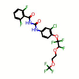 O=C(NC(=O)c1c(F)cccc1F)Nc1ccc(OC(F)(F)C(F)OCCOC(F)(F)F)c(Cl)c1